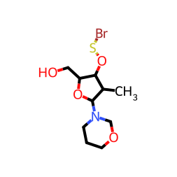 CC1C(OSBr)C(CO)OC1N1CCCOC1